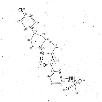 CC(C)[C@@H](NC(=O)c1cccc(NS(C)(=O)=O)c1)C(=O)N1CCC(c2ccc(Cl)cc2)CC1